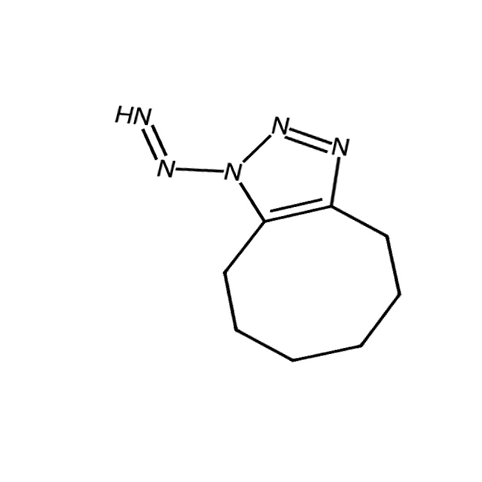 N=Nn1nnc2c1CCCCCC2